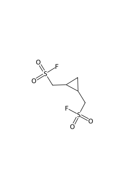 O=S(=O)(F)CC1CC1CS(=O)(=O)F